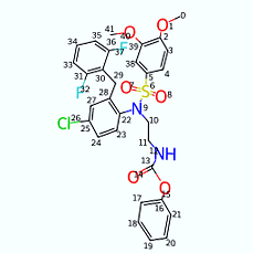 COc1ccc(S(=O)(=O)N(CCNC(=O)Oc2ccccc2)c2ccc(Cl)cc2Cc2c(F)cccc2F)cc1OC